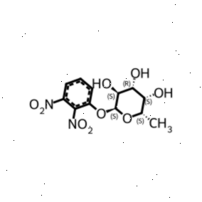 C[C@@H]1O[C@@H](Oc2cccc([N+](=O)[O-])c2[N+](=O)[O-])[C@@H](O)[C@H](O)[C@@H]1O